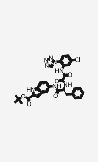 CC(C)(C)OC(=O)c1cc2cc(NC(=O)[C@H](Cc3ccccc3)NC(=O)C(=O)Nc3cc(Cl)ccc3-n3cnnn3)ccc2[nH]1